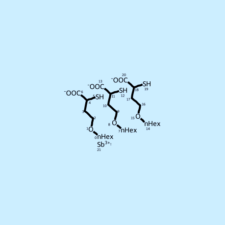 CCCCCCOCCC(S)C(=O)[O-].CCCCCCOCCC(S)C(=O)[O-].CCCCCCOCCC(S)C(=O)[O-].[Sb+3]